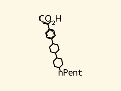 CCCCCC1CCC(C2CCC(c3ccc(C(C)=CC(=O)O)cc3)CC2)CC1